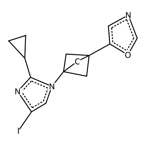 Ic1cn(C23CC(c4cnco4)(C2)C3)c(C2CC2)n1